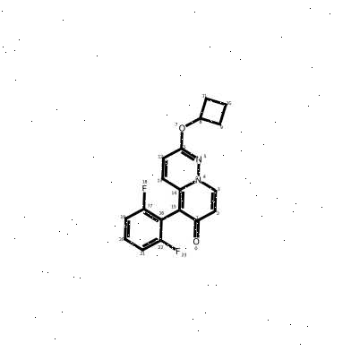 O=c1ccn2nc(OC3CCC3)ccc2c1-c1c(F)cccc1F